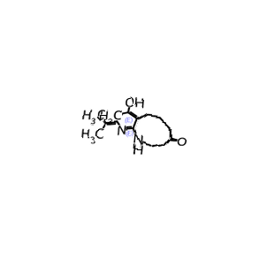 CC(C)=C/N=C1/NCCC(=O)CCC/C1=C(/C)O